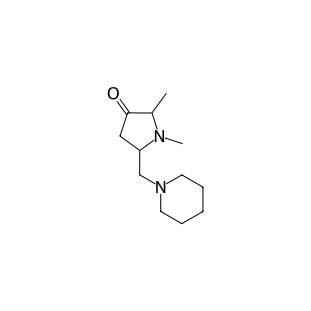 CC1C(=O)CC(CN2CCCCC2)N1C